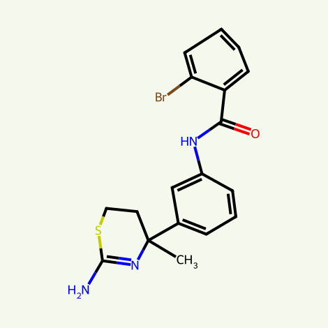 CC1(c2cccc(NC(=O)c3ccccc3Br)c2)CCSC(N)=N1